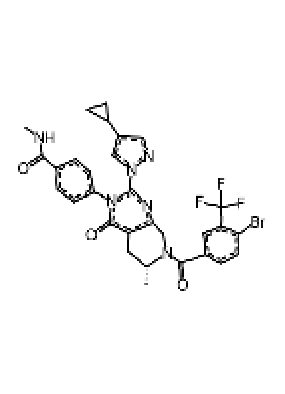 CNC(=O)c1ccc(-n2c(-n3cc(C4CC4)cn3)nc3c(c2=O)C[C@@H](C)N(C(=O)c2ccc(Br)c(C(F)(F)F)c2)C3)cc1